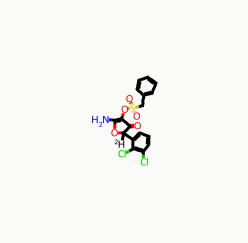 [2H]C1(c2cccc(Cl)c2Cl)OC(N)=C(OS(=O)(=O)Cc2ccccc2)C1=O